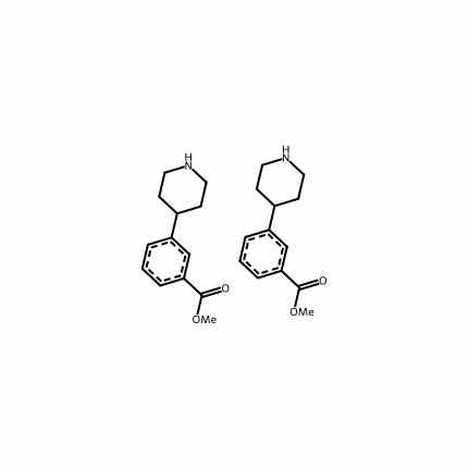 COC(=O)c1cccc(C2CCNCC2)c1.COC(=O)c1cccc(C2CCNCC2)c1